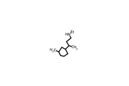 CCNCCC(C)C1CCCC(C)C1